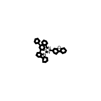 c1ccc(-c2cccc(-c3cccc4c5ccccc5n(-c5nc(-c6ccccc6)nc(-c6ccc7c(c6)oc6ccccc67)n5)c34)c2)cc1